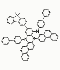 CC1(C)c2ccccc2-c2cc(-c3cc4c5c(c3)N(c3ccc(-c6ccccc6)cc3)c3c(ccc6c3ccc3ccccc36)B5c3ccc5c(ccc6ccccc65)c3N4c3ccc(-c4ccccc4)cc3)ccc21